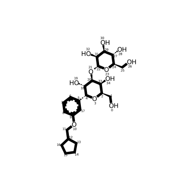 OC[C@H]1O[C@H](c2cccc(OCC3CCCC3)c2)[C@H](O)[C@@H](O[C@H]2O[C@H](CO)[C@@H](O)[C@H](O)[C@@H]2O)[C@H]1O